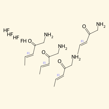 C/C=C/C(=O)CN.C/C=C/C(=O)CN.C/C=C/C(=O)CN.C/C=C/C(=O)CN.F.F.F.F